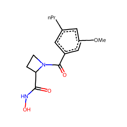 CCCc1cc(OC)cc(C(=O)N2CCC2C(=O)NO)c1